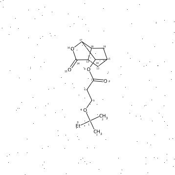 CCC(C)(C)OCCC(=O)OC1C2CC3C(=O)OC1C3C2